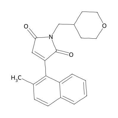 Cc1ccc2ccccc2c1C1=CC(=O)N(CC2CCOCC2)C1=O